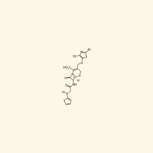 CCc1nc(CC)c(SCC2=C(C(=O)O)N3C(=O)C(NC(=O)C[S+]([O-])c4cccs4)[C@@H]3SC2)s1